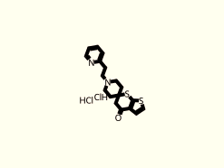 Cl.Cl.O=C1CC2(CCN(CCc3ccccn3)CC2)Sc2sccc21